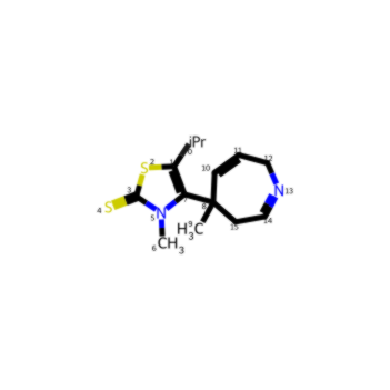 CC(C)c1sc(=S)n(C)c1C1(C)C=CCN=CC1